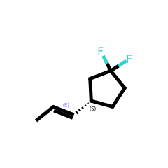 C/C=C/[C@H]1CCC(F)(F)C1